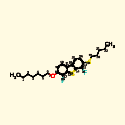 CCCCCCCOc1ccc2c(sc3c(F)c(SCCCCC)ccc32)c1F